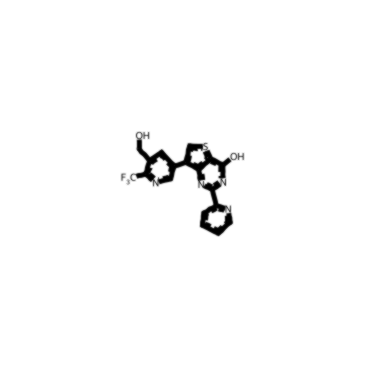 OCc1cc(-c2csc3c(O)nc(-c4ccccn4)nc23)cnc1C(F)(F)F